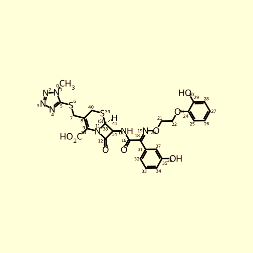 Cn1nnnc1SCC1=C(C(=O)O)N2C(=O)C(NC(=O)C(=NOCCOc3ccccc3O)c3cccc(O)c3)[C@@H]2SC1